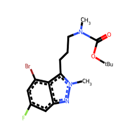 CN(CCCc1c2c(Br)cc(F)cc2nn1C)C(=O)OC(C)(C)C